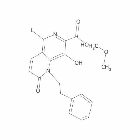 COC.O=C(O)c1nc(I)c2ccc(=O)n(CCc3ccccc3)c2c1O